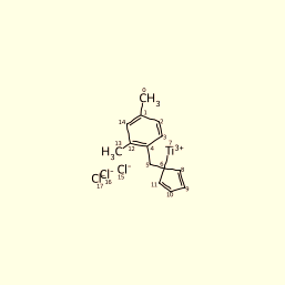 Cc1ccc(C[C]2([Ti+3])C=CC=C2)c(C)c1.[Cl-].[Cl-].[Cl-]